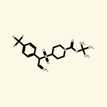 C=CC(c1ccc(C(F)(F)F)cc1)S(=O)(=O)C1CCN(C(=O)OC(C)(C)C)CC1